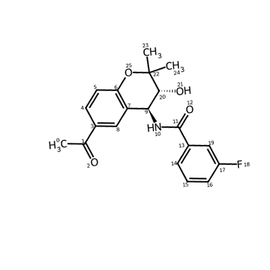 CC(=O)c1ccc2c(c1)[C@H](NC(=O)c1cccc(F)c1)[C@@H](O)C(C)(C)O2